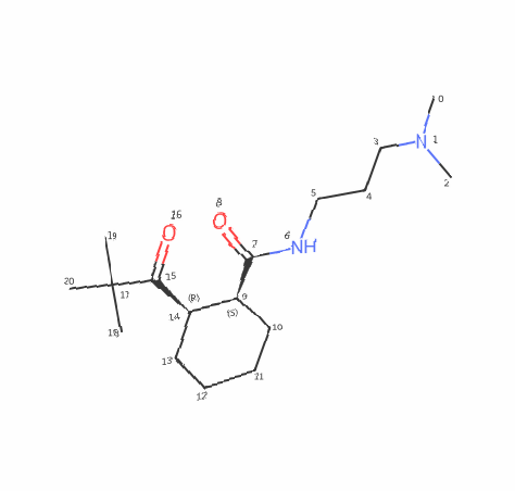 CN(C)CCCNC(=O)[C@H]1CCCC[C@H]1C(=O)C(C)(C)C